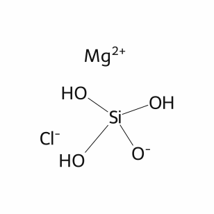 [Cl-].[Mg+2].[O-][Si](O)(O)O